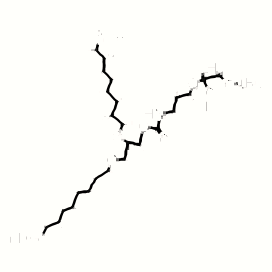 CCCCCCCCCCCCCCCCCCOCC(COC(=O)NCCCOC(C)(C)COC(C)(C)C)OCCCCCCCCCCCCCCCCCC